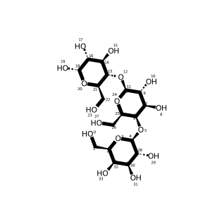 OC[C@H]1O[C@@H](O[C@@H]2[C@H](O)[C@@H](O)[C@H](O[C@H]3[C@H](O)[C@@H](O)[C@@H](O)O[C@@H]3CO)O[C@@H]2CO)[C@H](O)[C@@H](O)[C@H]1O